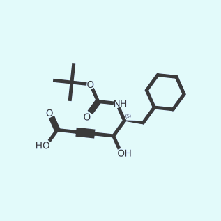 CC(C)(C)OC(=O)N[C@@H](CC1CCCCC1)C(O)C#CC(=O)O